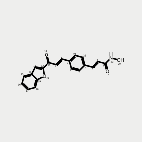 O=C(/C=C/c1ccc(/C=C/C(=O)c2cc3ccccc3o2)cc1)NO